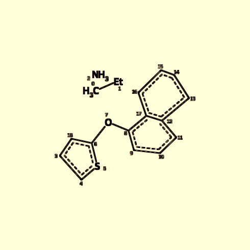 CCC.N.c1csc(Oc2cccc3ccccc23)c1